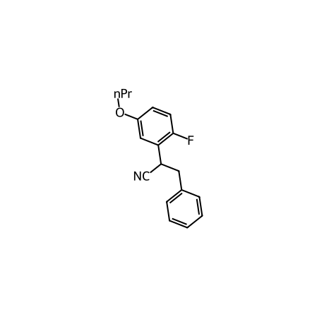 CCCOc1ccc(F)c(C(C#N)Cc2ccccc2)c1